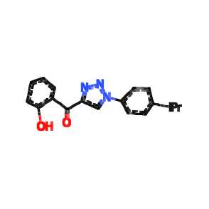 CC(C)c1ccc(-n2cc(C(=O)c3ccccc3O)nn2)cc1